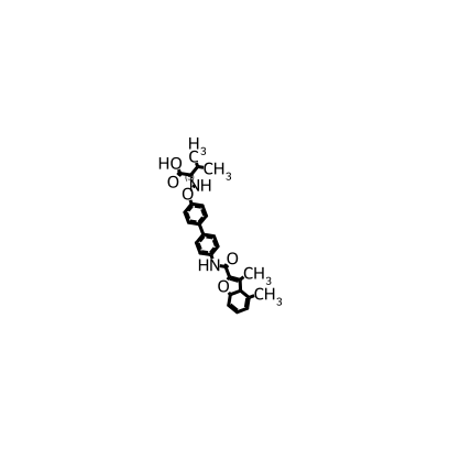 CC1=CC=CC2OC(C(=O)Nc3ccc(-c4ccc(ON[C@H](C(=O)O)C(C)C)cc4)cc3)=C(C)C12